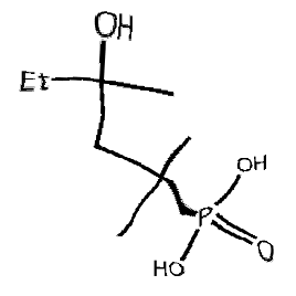 CCC(C)(O)CC(C)(C)P(=O)(O)O